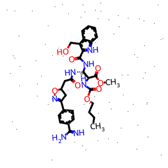 CCCCOC(=O)NC(C(=O)OC)[C@H](NC(=O)CC1CC(c2ccc(C(=N)N)cc2)=NO1)NC(=O)c1[nH]c2ccccc2c1CO